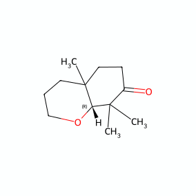 CC12CCCO[C@H]1C(C)(C)C(=O)CC2